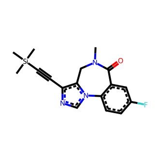 CN1Cc2c(C#C[Si](C)(C)C)ncn2-c2ccc(F)cc2C1=O